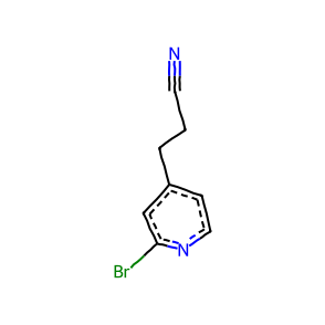 N#CCCc1ccnc(Br)c1